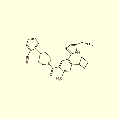 CCc1cnc(-c2cc(C(=O)N3CCC(c4ccccc4C#N)CC3)c(C)cc2C2CCC2)[nH]1